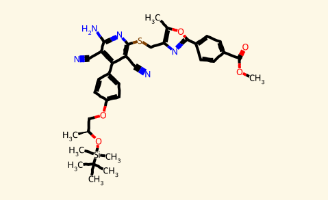 COC(=O)c1ccc(-c2nc(CSc3nc(N)c(C#N)c(-c4ccc(OC[C@H](C)O[Si](C)(C)C(C)(C)C)cc4)c3C#N)c(C)o2)cc1